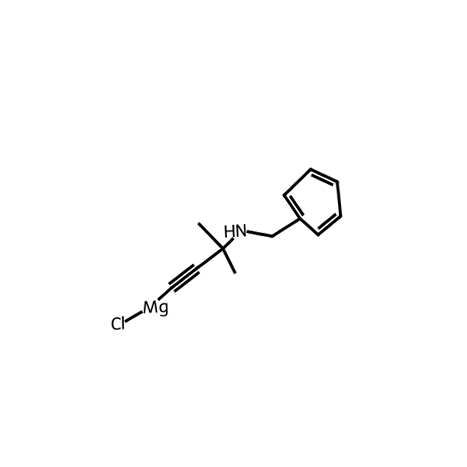 CC(C)(C#[C][Mg][Cl])NCc1ccccc1